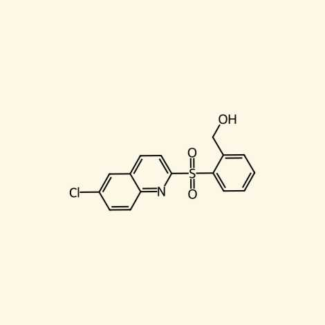 O=S(=O)(c1ccc2cc(Cl)ccc2n1)c1ccccc1CO